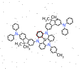 Cc1ccc(N2c3cccc4c3[Si]3(c5ccccc5)c5c2cccc5N(c2ccc5c(c2)-c2ccc(N(c6ccccc6)c6ccccc6)cc2C5(C)C)c2cccc(c23)N4c2ccc3c(c2)-c2cc(N(c4ccccc4)c4ccccc4)ccc2C3(C)C)cc1